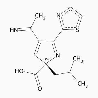 CC(=N)C1=C[C@@](CC(C)C)(C(=O)O)N=C1c1nccs1